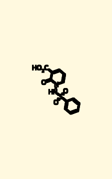 O=C(O)c1cccn(NS(=O)(=O)c2ccccc2)c1=O